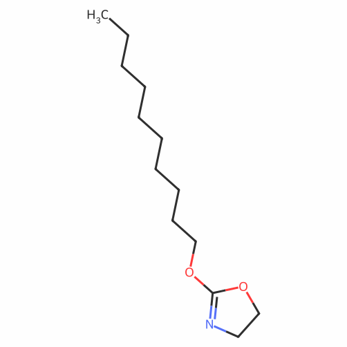 CCCCCCCCCCOC1=NCCO1